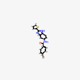 O=C(Nc1ccc2[nH]c(-c3cccs3)nc2c1)c1ccc(Br)cc1